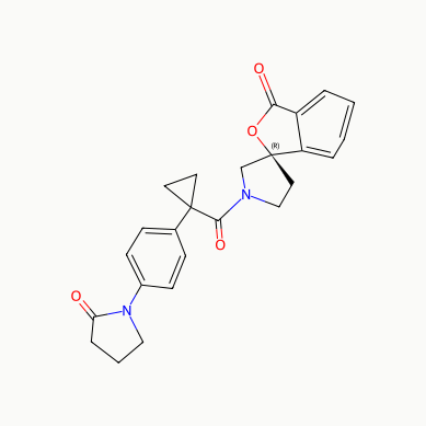 O=C1O[C@]2(CCN(C(=O)C3(c4ccc(N5CCCC5=O)cc4)CC3)C2)c2ccccc21